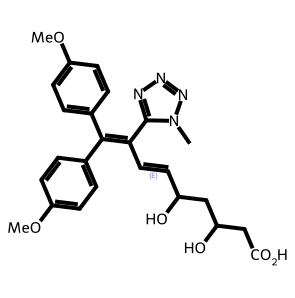 COc1ccc(C(=C(/C=C/C(O)CC(O)CC(=O)O)c2nnnn2C)c2ccc(OC)cc2)cc1